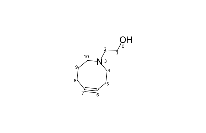 OCCN1CCC#CCCC1